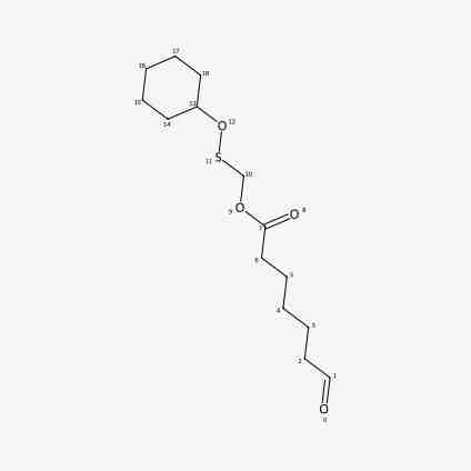 O=CCCCCCC(=O)OCSOC1CCCCC1